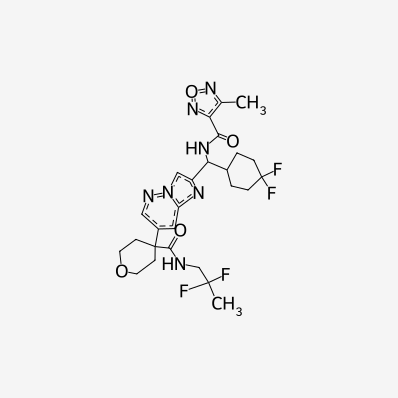 Cc1nonc1C(=O)NC(c1cn2ncc(C3(C(=O)NCC(C)(F)F)CCOCC3)cc2n1)C1CCC(F)(F)CC1